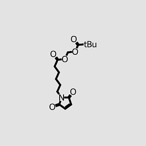 CC(C)(C)C(=O)OCOC(=O)CCCCCN1C(=O)C=CC1=O